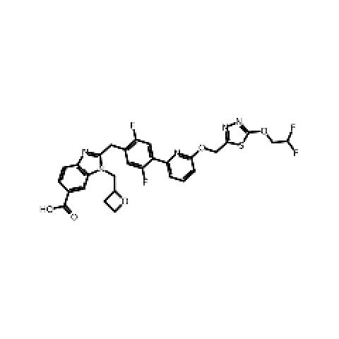 O=C(O)c1ccc2nc(Cc3cc(F)c(-c4cccc(OCc5nnc(OCC(F)F)s5)n4)cc3F)n(CC3CCO3)c2c1